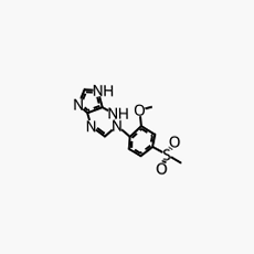 COc1cc(S(C)(=O)=O)ccc1N1C=Nc2nc[nH]c2N1